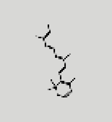 [CH2]C=C(C)C=CC=C(C)C=CC1=C(C)C=CCC1(C)C